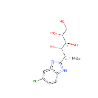 CC(=O)N[C@H](c1nc2cc(Cl)ccc2[nH]1)C(O)[C@H](O)C(O)CO